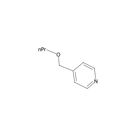 CCCOCc1ccncc1